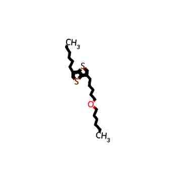 CCCCCCOCCCCCc1csc2c(CCCCCC)csc12